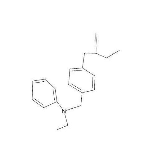 CC[C@@H](C)Cc1ccc(CN(CC)c2ccccc2)cc1